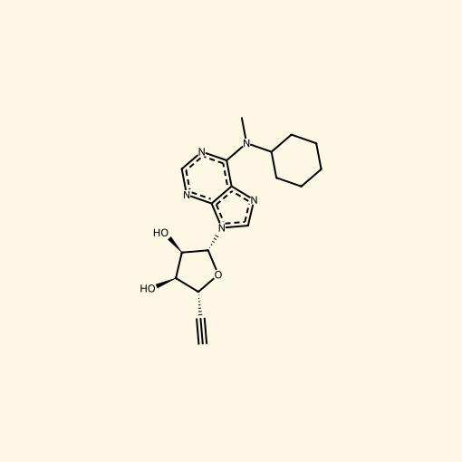 C#C[C@H]1O[C@@H](n2cnc3c(N(C)C4CCCCC4)ncnc32)[C@H](O)[C@@H]1O